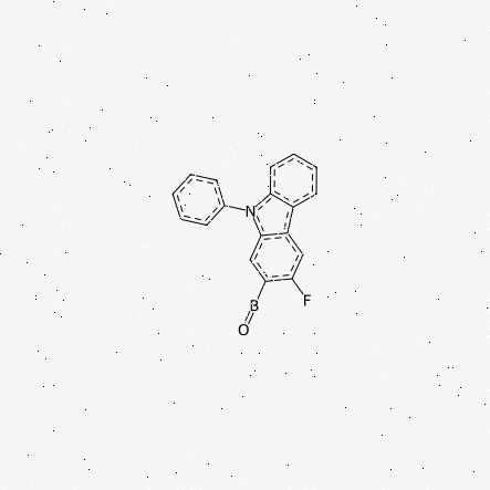 O=Bc1cc2c(cc1F)c1ccccc1n2-c1ccccc1